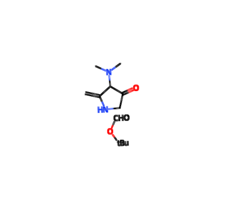 C=C1NCC(=O)C1N(C)C.CC(C)(C)OC=O